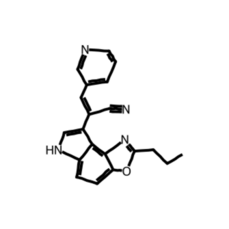 CCCc1nc2c(ccc3[nH]cc(/C(C#N)=C/c4cccnc4)c32)o1